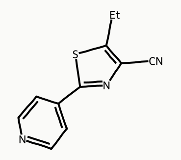 CCc1sc(-c2ccncc2)nc1C#N